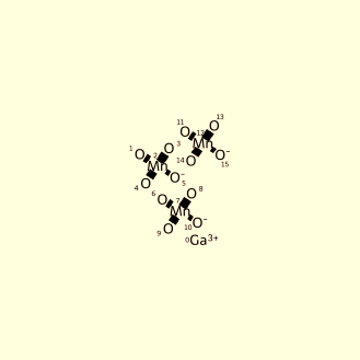 [Ga+3].[O]=[Mn](=[O])(=[O])[O-].[O]=[Mn](=[O])(=[O])[O-].[O]=[Mn](=[O])(=[O])[O-]